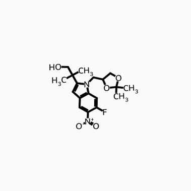 CC1(C)OCC(Cn2c(C(C)(C)CO)cc3cc([N+](=O)[O-])c(F)cc32)O1